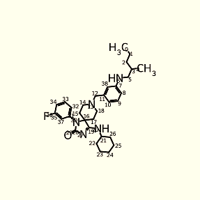 CCCC(C)CNc1cccc(CN2CCC3(CC2)C(NC2CCCCC2)=NC(=O)N3c2cccc(F)c2)c1